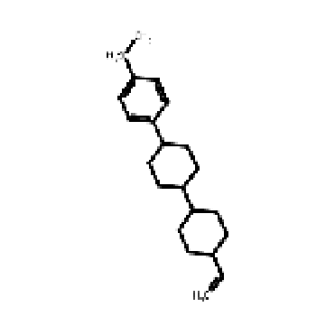 C=CC1CCC(C2CCC(c3ccc([SiH2]C)cc3)CC2)CC1